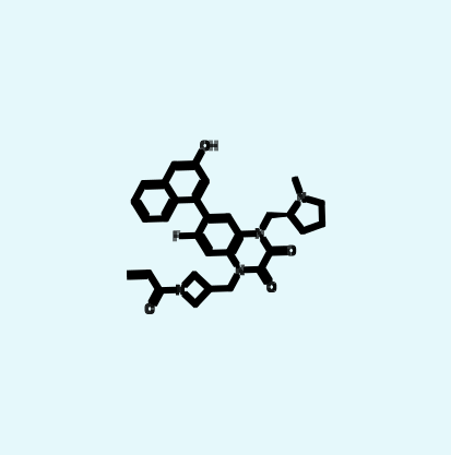 C=CC(=O)N1CC(Cn2c(=O)c(=O)n(C[C@@H]3CCCN3C)c3cc(-c4cc(O)cc5ccccc45)c(F)cc32)C1